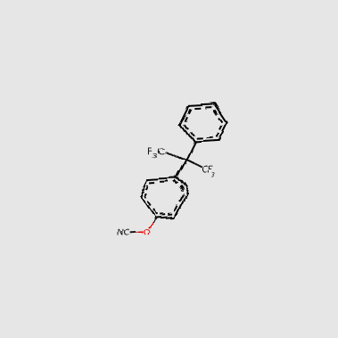 N#COc1ccc(C(c2ccccc2)(C(F)(F)F)C(F)(F)F)cc1